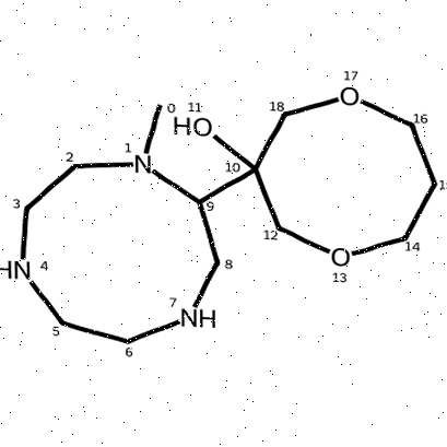 CN1CCNCCNCC1C1(O)COCCCOC1